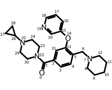 O=C(c1ccc(CN2CCCCC2)c(Oc2cccnc2)c1)N1CCN(C2CC2)CC1